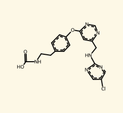 O=C(O)NCCc1ccc(Oc2cc(CNc3ncc(Cl)cn3)ncn2)cc1